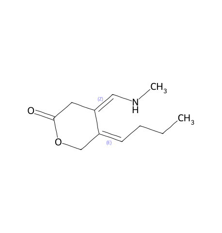 CCC/C=C1/COC(=O)C/C1=C/NC